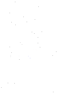 N[C@@H](CC(=O)OCC(=O)O)C(=O)O.[NaH]